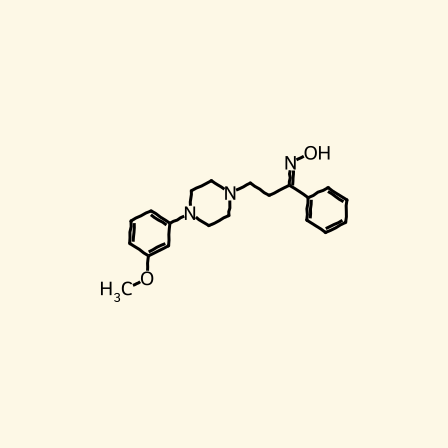 COc1cccc(N2CCN(CCC(=NO)c3ccccc3)CC2)c1